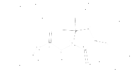 C=C1C(C)CC(C)(C)N1CC(N)=O